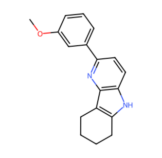 COc1cccc(-c2ccc3[nH]c4c(c3n2)CCCC4)c1